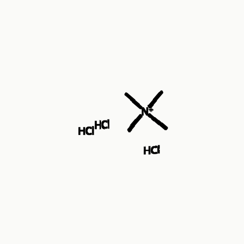 C[N+](C)(C)C.Cl.Cl.Cl